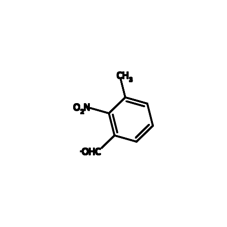 Cc1cccc([C]=O)c1[N+](=O)[O-]